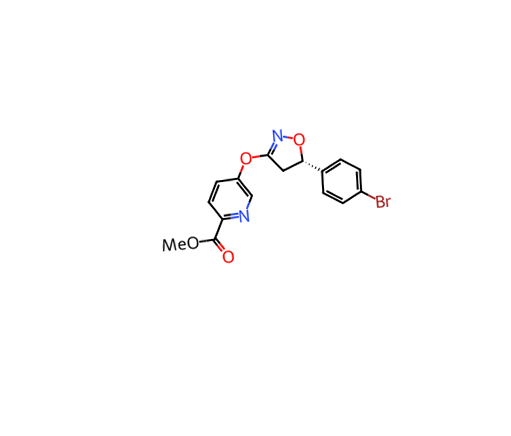 COC(=O)c1ccc(OC2=NO[C@H](c3ccc(Br)cc3)C2)cn1